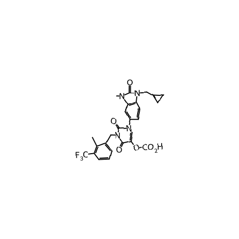 Cc1c(Cn2c(=O)c(OC(=O)O)cn(-c3ccc4c(c3)n(C)c(=O)n4CC3CC3)c2=O)cccc1C(F)(F)F